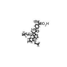 Cc1cc(-c2ncnc3c(C(=O)N[C@H]4CC[C@@H](N(C(=O)O)C(C)(C)C)CC4)c(C)n(COCC[Si](C)(C)C)c23)c(OCC2CC2)cc1F